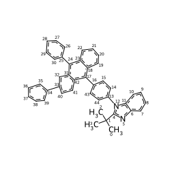 CC(C)(C)c1nc2ccccc2n1-c1ccc(-c2c3ccccc3c(-c3ccccc3)c3cc(-c4ccccc4)ccc23)cc1